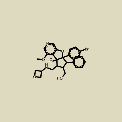 COc1cncc2c1C1(O)C(CNC3COC3)C(CO)C(c3ccccc3)C1(c1ccc(Br)cc1)O2